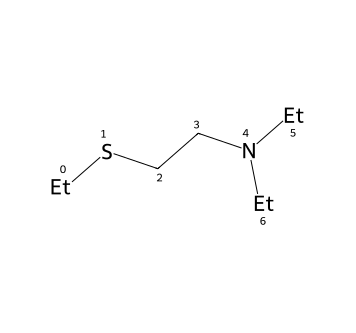 CCSCCN(CC)CC